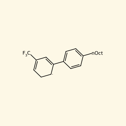 CCCCCCCCc1ccc(C2=CC(C(F)(F)F)=CC[CH]2)cc1